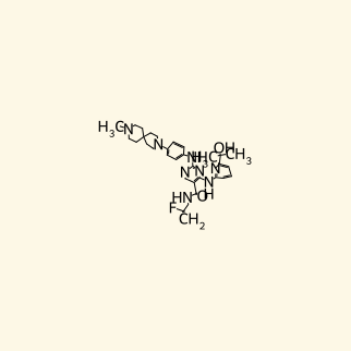 C=C(F)CNC(=O)c1cnc(Nc2ccc(N3CCC4(CCN(C)CC4)CC3)cc2)nc1Nc1cccc(C(C)(C)O)n1